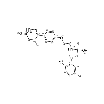 Cc1ccc(Cl)c(OCC(C)(O)NCCOc2ccc(C3=NNC(=O)CC3C)cc2)c1